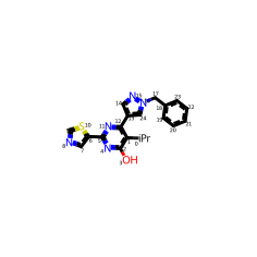 CC(C)c1c(O)nc(-c2cncs2)nc1-c1cnn(Cc2ccccc2)c1